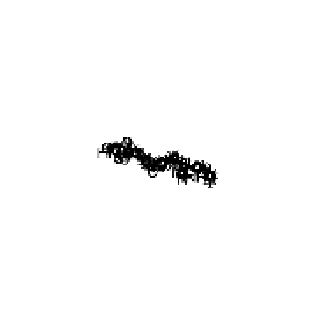 Nc1ncnc2c1c(-c1ccc(Oc3ccccc3)cc1)nn2C1CCCN(C2CCN(C(=O)N3CCC(c4ccc5c(c4)C(=O)N(C4CCC(=O)NC4=O)C5=O)CC3)CC2)C1